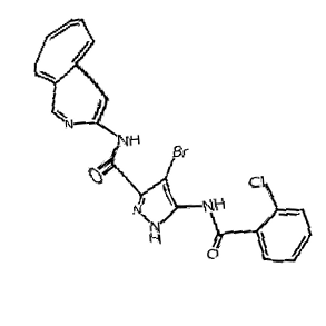 O=C(Nc1[nH]nc(C(=O)Nc2cc3ccccc3cn2)c1Br)c1ccccc1Cl